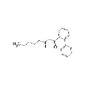 CCCCCNCC(=O)c1ccccc1-c1ccccc1